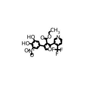 CCOC(=O)c1c(-c2cc(O)c(O)c([N+](=O)[O-])c2)coc1-c1cnccc1C(F)(F)F